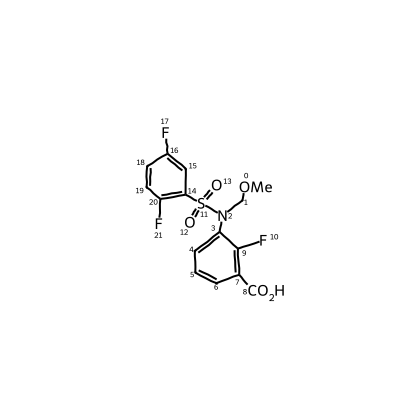 COCN(c1cccc(C(=O)O)c1F)S(=O)(=O)c1cc(F)ccc1F